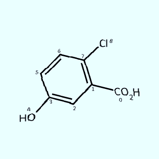 O=C(O)c1cc(O)c[c]c1Cl